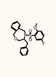 COc1ccc(F)cc1S(=O)(=O)N1Cc2ccccc2COCC1Cc1ccccc1